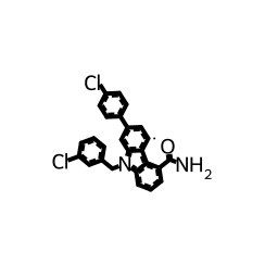 NC(=O)c1cccc2c1c1[c]cc(-c3ccc(Cl)cc3)cc1n2Cc1cccc(Cl)c1